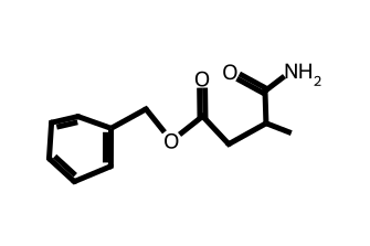 CC(CC(=O)OCc1ccccc1)C(N)=O